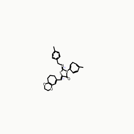 CC1=CCC=C(N2C(=O)/C(=C/C3=CC4=C(CCC3)OCCO4)S/C2=N\Cc2ccc(C)cc2)C=C1